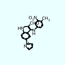 Cc1ccc(NC2=C(C=O)CNc3ccc(-n4cccn4)cc32)cc1[N+](=O)[O-]